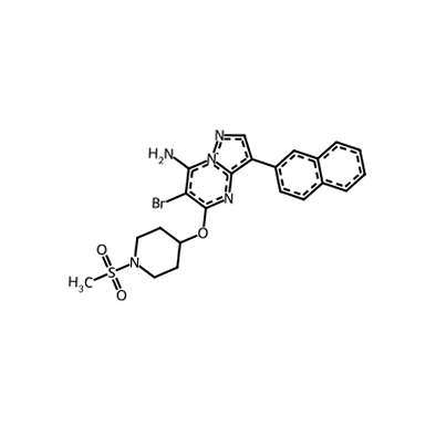 CS(=O)(=O)N1CCC(Oc2nc3c(-c4ccc5ccccc5c4)cnn3c(N)c2Br)CC1